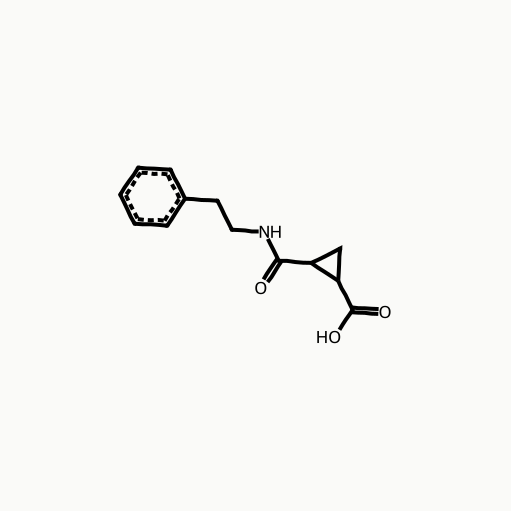 O=C(O)C1CC1C(=O)NCCc1ccccc1